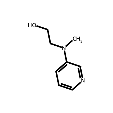 CN(CCO)c1[c]nccc1